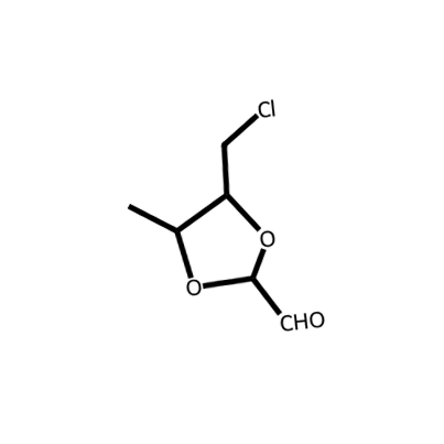 CC1OC(C=O)OC1CCl